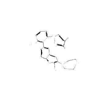 Cc1cccc(-n2cc(Cl)c(C)n2)c1-c1ccc2nc(N)c(N3CCOCC3)cc2c1